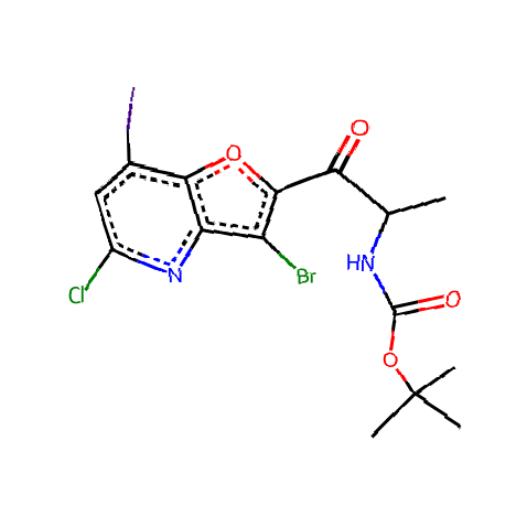 CC(NC(=O)OC(C)(C)C)C(=O)c1oc2c(I)cc(Cl)nc2c1Br